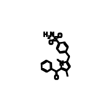 Cc1cc(Cc2ccc(S(N)(=O)=O)cc2)n(C)c1C(=O)c1ccccc1